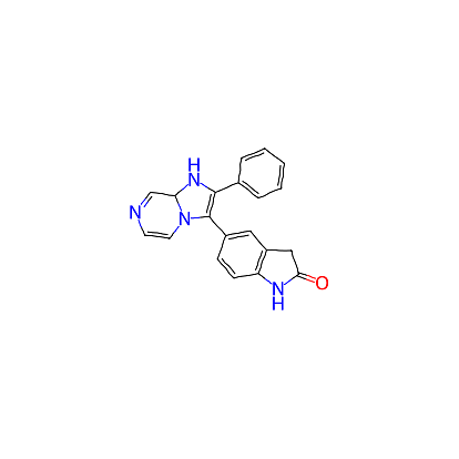 O=C1Cc2cc(C3=C(c4ccccc4)NC4C=NC=CN34)ccc2N1